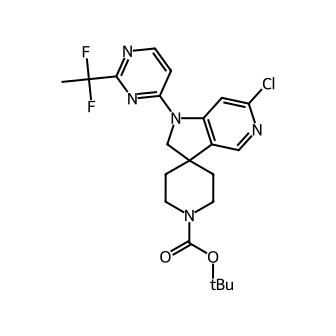 CC(C)(C)OC(=O)N1CCC2(CC1)CN(c1ccnc(C(C)(F)F)n1)c1cc(Cl)ncc12